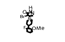 COc1cccc(F)c1C1CCN(c2cn[nH]c(=O)c2Br)CC1